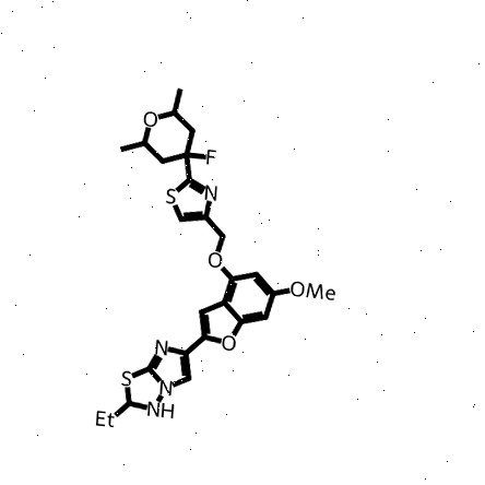 CCC1Nn2cc(-c3cc4c(OCc5csc(C6(F)CC(C)OC(C)C6)n5)cc(OC)cc4o3)nc2S1